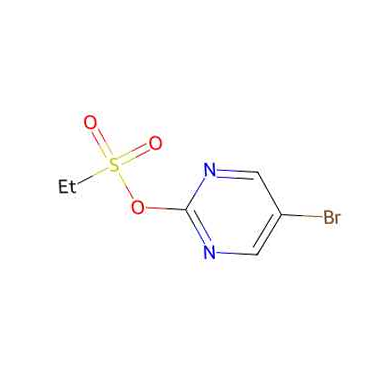 CCS(=O)(=O)Oc1ncc(Br)cn1